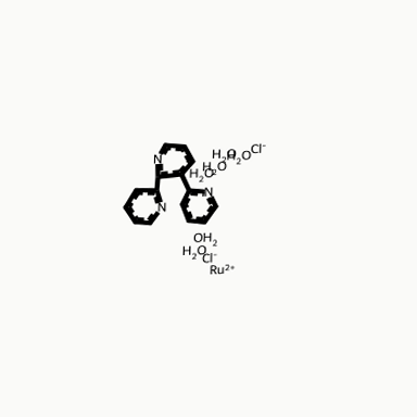 O.O.O.O.O.O.[Cl-].[Cl-].[Ru+2].c1ccc(-c2cccnc2-c2ccccn2)nc1